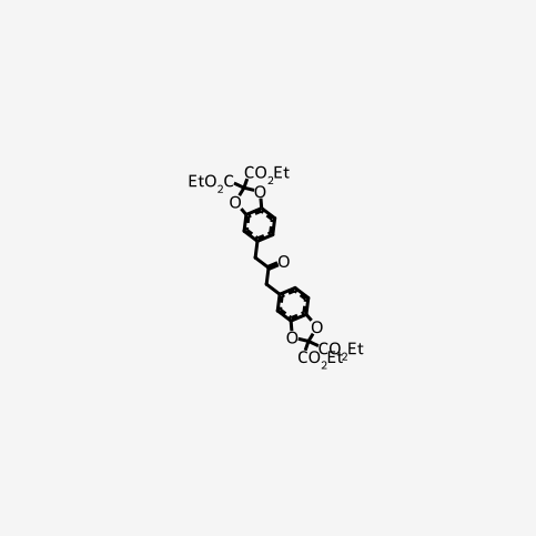 CCOC(=O)C1(C(=O)OCC)Oc2ccc(CC(=O)Cc3ccc4c(c3)OC(C(=O)OCC)(C(=O)OCC)O4)cc2O1